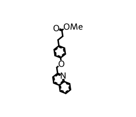 COC(=O)CCc1ccc(OCc2ccc3ccccc3n2)cc1